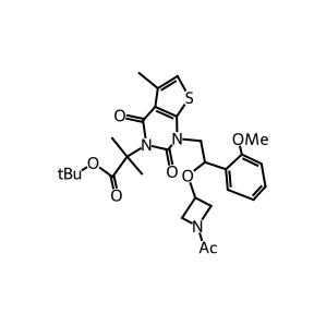 COc1ccccc1C(Cn1c(=O)n(C(C)(C)C(=O)OC(C)(C)C)c(=O)c2c(C)csc21)OC1CN(C(C)=O)C1